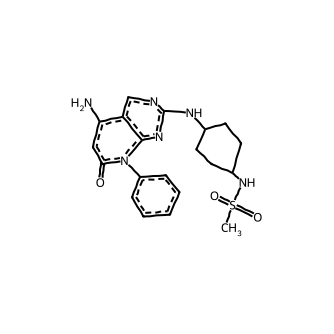 CS(=O)(=O)NC1CCC(Nc2ncc3c(N)cc(=O)n(-c4ccccc4)c3n2)CC1